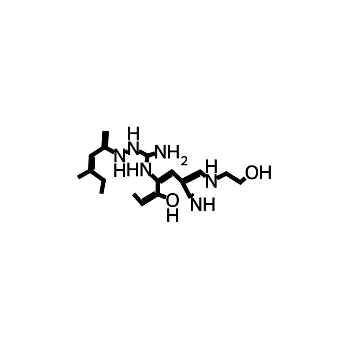 C=C(/C=C(/C)CC)NNC(N)NC(=C/C(C=N)=C/NCCO)/C(O)=C\C